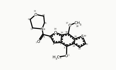 COc1c2cc(C(=O)N3CCOCC3)oc2c(OC)c2sccc12